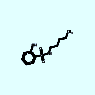 CCCCCNS(=O)(=O)c1ccccc1O